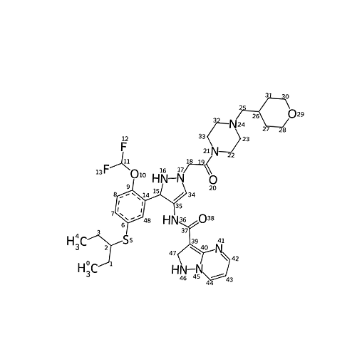 CCC(CC)Sc1ccc(OC(F)F)c(C2NN(CC(=O)N3CCN(CC4CCOCC4)CC3)C=C2NC(=O)C2=C3N=CC=CN3NC2)c1